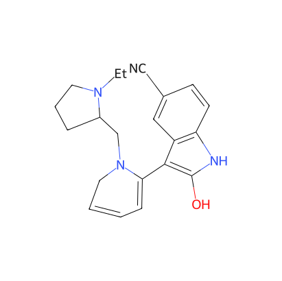 CCN1CCCC1CN1CC=CC=C1c1c(O)[nH]c2ccc(C#N)cc12